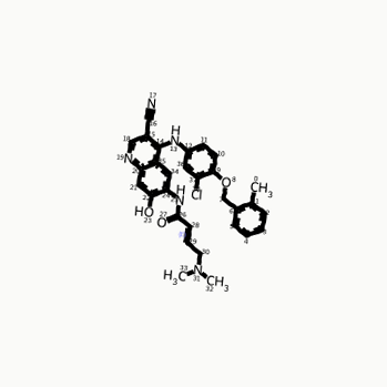 Cc1ccccc1COc1ccc(Nc2c(C#N)cnc3cc(O)c(NC(=O)/C=C/CN(C)C)cc23)cc1Cl